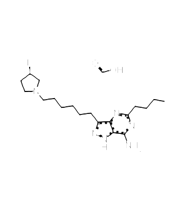 CCCCc1nc(N)c2[nH]nc(CCCCCCN3CC[C@@H](F)C3)c2n1.O=CO